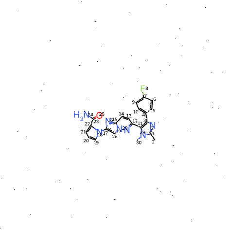 Cc1nc(-c2ccc(F)cc2)c(-c2ccc3nc(-n4cccc4C(N)=O)cn3n2)n1C